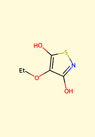 CCOc1c(O)nsc1O